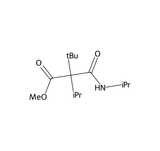 COC(=O)C(C(=O)NC(C)C)(C(C)C)C(C)(C)C